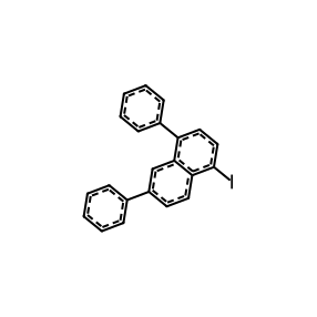 Ic1ccc(-c2ccccc2)c2cc(-c3ccccc3)ccc12